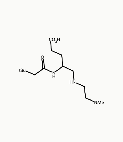 CNCCNCC(CCC(=O)O)NC(=O)CC(C)(C)C